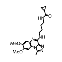 COc1cc2nc(NCCCCNC(=O)C3CC3)c3nnc(C)n3c2cc1OC